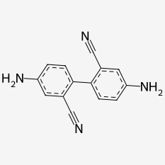 N#Cc1cc(N)ccc1-c1ccc(N)cc1C#N